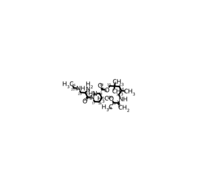 C=C(NCC(C)CC(C)(C)COC(=O)[C@@H]1CCCN(C(=O)C(N)CNCC)N1)[C@H](C)OC